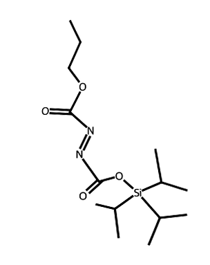 CCCOC(=O)N=NC(=O)O[Si](C(C)C)(C(C)C)C(C)C